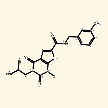 CCCCC(CC)Cn1c(=O)c2cc(C(=O)NCc3cccc(OC)c3)sc2n(C)c1=O